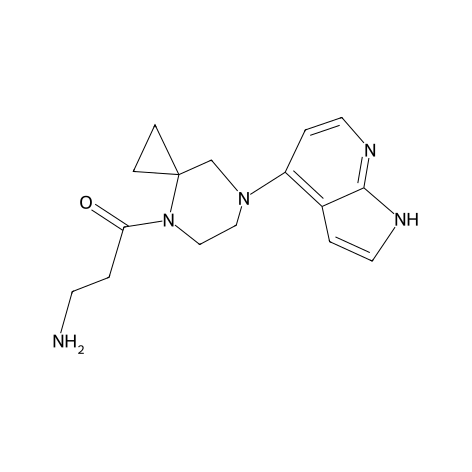 NCCC(=O)N1CCN(c2ccnc3[nH]ccc23)CC12CC2